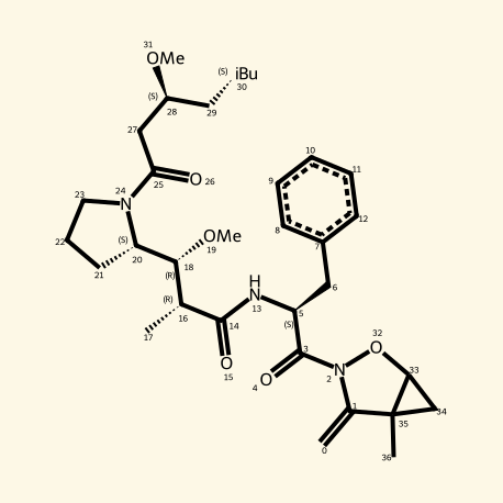 C=C1N(C(=O)[C@H](Cc2ccccc2)NC(=O)[C@H](C)[C@@H](OC)[C@@H]2CCCN2C(=O)C[C@H](C[C@@H](C)CC)OC)OC2CC12C